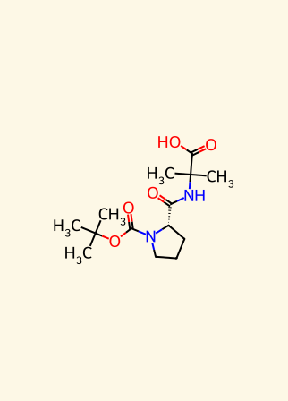 CC(C)(C)OC(=O)N1CCC[C@H]1C(=O)NC(C)(C)C(=O)O